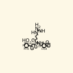 N=C(N)NCCC[C@@H](C(=O)O)N(NCc1ccc2c(c1)OCO2)C(=O)CC(=O)c1ccccc1